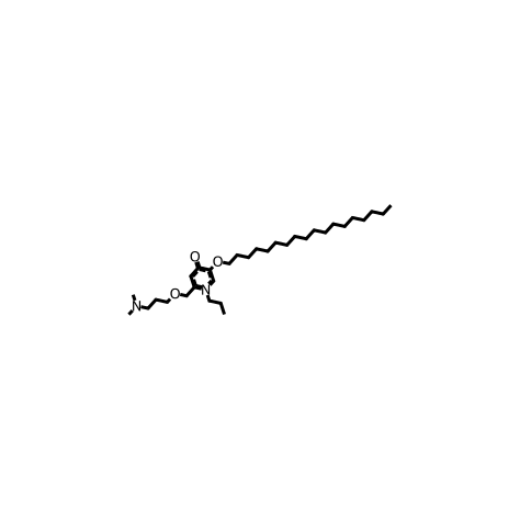 CCCCCCCCCCCCCCCCCCOc1cn(CCC)c(COCCCN(C)C)cc1=O